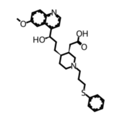 COc1ccc2nccc([C@H](O)CC[C@@H]3CCN(CCCSc4ccccc4)C[C@@H]3CC(=O)O)c2c1